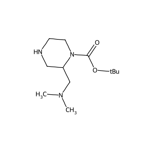 CN(C)CC1CNCCN1C(=O)OC(C)(C)C